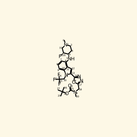 CN1CC[C@@H](Nc2cccc3c2cc(-c2nnc(CN(C)C(=O)OC(C)(C)C)o2)n3CC(F)(F)F)[C@@H](F)C1